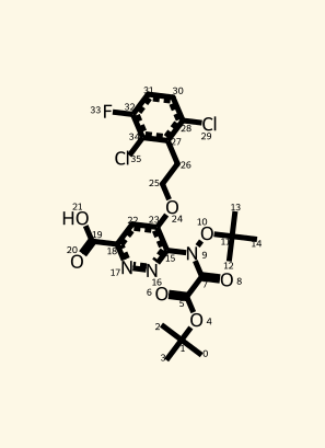 CC(C)(C)OC(=O)C(=O)N(OC(C)(C)C)c1nnc(C(=O)O)cc1OCCc1c(Cl)ccc(F)c1Cl